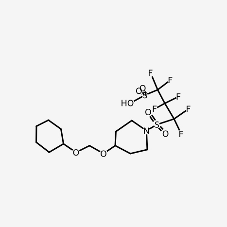 O=S(=O)(O)C(F)(F)C(F)(F)C(F)(F)S(=O)(=O)N1CCC(OCOC2CCCCC2)CC1